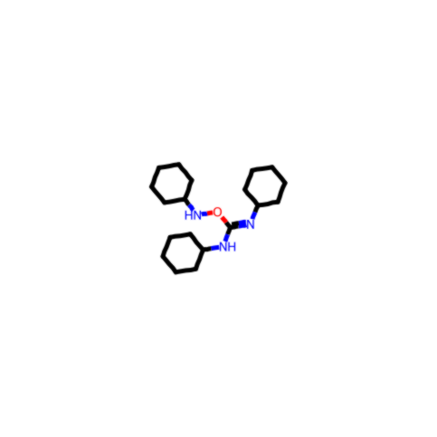 C1CCC(N=C(NC2CCCCC2)ONC2CCCCC2)CC1